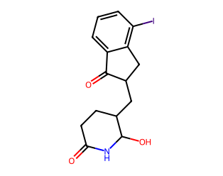 O=C1CCC(CC2Cc3c(I)cccc3C2=O)C(O)N1